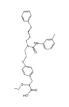 CCOC(Cc1ccc(OCCN(CCCSc2ccccc2)C(=O)Nc2cccc(C)c2)cc1)C(=O)O